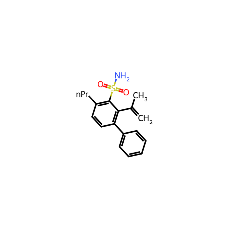 C=C(C)c1c(-c2ccccc2)ccc(CCC)c1S(N)(=O)=O